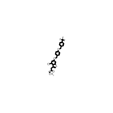 COC(=O)Cc1csc2cc(OCc3ccc(OCc4ccc(C(F)(F)F)cc4)cc3)cc(Cl)c12